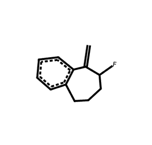 C=C1c2ccccc2CCCC1F